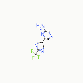 Nc1cncc(-c2cnc(C(F)(F)F)nc2)n1